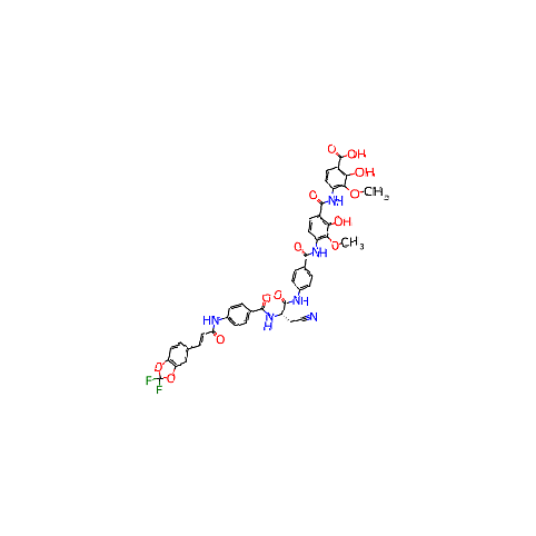 COc1c(NC(=O)c2ccc(NC(=O)c3ccc(NC(=O)[C@H](CC#N)NC(=O)c4ccc(NC(=O)/C=C/c5ccc6c(c5)OC(F)(F)O6)cc4)cc3)c(OC)c2O)ccc(C(=O)O)c1O